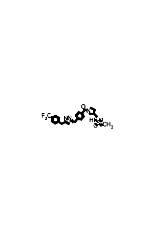 C=CS(=O)(=O)NCC1CCN(C(=O)c2ccc(Cn3cc(Cc4ccc(C(F)(F)F)cc4)nn3)cc2)C1